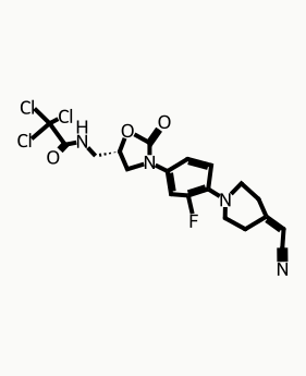 N#CC=C1CCN(c2ccc(N3C[C@H](CNC(=O)C(Cl)(Cl)Cl)OC3=O)cc2F)CC1